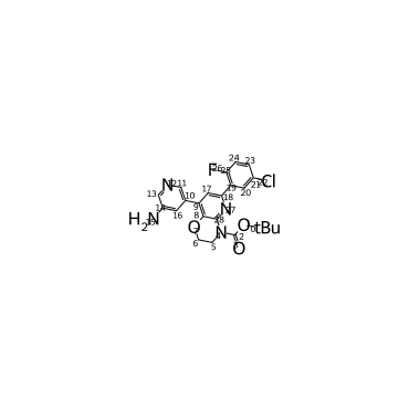 CC(C)(C)OC(=O)N1CCOc2c(-c3cncc(N)c3)cc(-c3cc(Cl)ccc3F)nc21